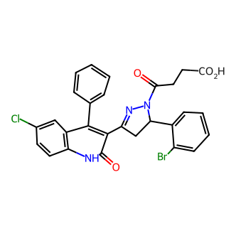 O=C(O)CCC(=O)N1N=C(c2c(-c3ccccc3)c3cc(Cl)ccc3[nH]c2=O)CC1c1ccccc1Br